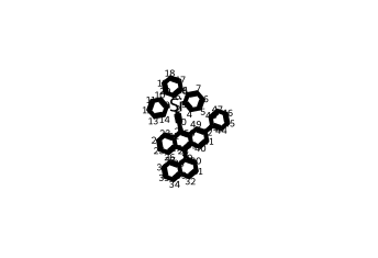 C(#C[Si](c1ccccc1)(c1ccccc1)c1ccccc1)c1c2ccccc2c(-c2cccc3ccccc23)c2ccc(-c3ccccc3)cc12